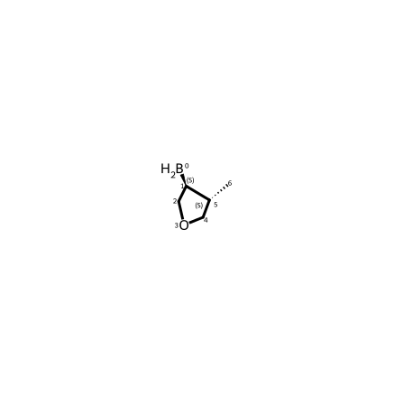 B[C@@H]1COC[C@H]1C